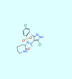 Cc1n[nH]c(Cl)c1C(C)N(C1CCCCNC1=O)S(=O)(=O)c1ccc(Cl)cc1